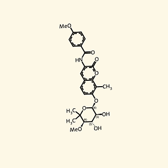 COc1ccc(C(=O)Nc2cc3ccc(O[C@@H]4OC(C)(C)[C@H](OC)[C@@H](O)[C@@H]4O)c(C)c3oc2=O)cc1